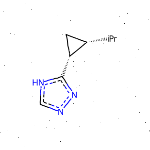 CC(C)[C@H]1C[C@H]1c1nnc[nH]1